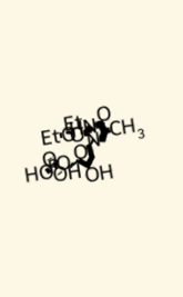 CCOCC.Cc1cn([C@H]2C[C@H](O)[C@@H](COP(=O)(O)O)O2)c(=O)[nH]c1=O